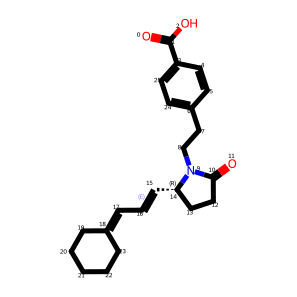 O=C(O)c1ccc(CCN2C(=O)CC[C@@H]2/C=C/C=C2CCCCC2)cc1